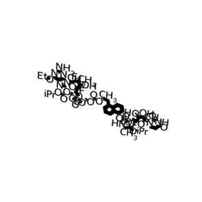 CCOc1nc(N)nc2c1ncn2C1(C)O[C@](F)(COP(=O)(OCOC(=O)OC(C)C)OCOC(=O)OC(C)Cc2cccc3c(OP(=O)(NC(C)C(=O)OC(C)C)OC[C@@]4(F)O[C@@H](n5ccc(=O)[nH]c5=O)[C@](C)(O)[C@@H]4O)cccc23)[C@@H](O)[C@@]1(C)F